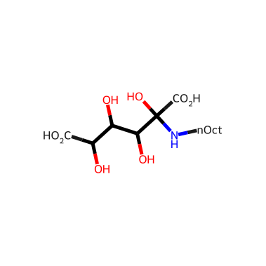 CCCCCCCCNC(O)(C(=O)O)C(O)C(O)C(O)C(=O)O